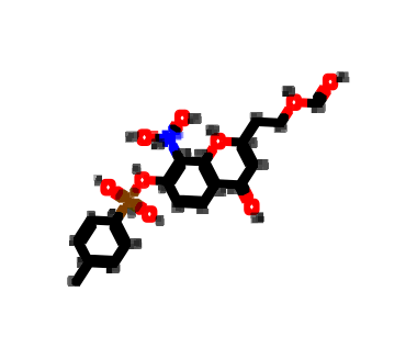 Cc1ccc(S(=O)(=O)Oc2ccc3c(=O)cc(CCOC=O)oc3c2[N+](=O)[O-])cc1